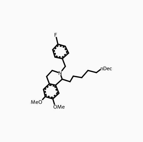 CCCCCCCCCCCCCCCC1c2cc(OC)c(OC)cc2CCN1Cc1ccc(F)cc1